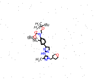 Cc1nn(CC2CCOCC2)cc1Nc1nccc(-c2ccc(N(CCO[Si](C)(C)C(C)(C)C)C(=O)OC(C)(C)C)c(C#N)c2)n1